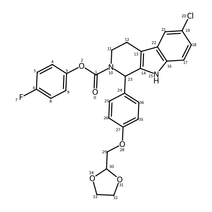 O=C(Oc1ccc(F)cc1)N1CCc2c([nH]c3ccc(Cl)cc23)C1c1ccc(OCC2OCCO2)cc1